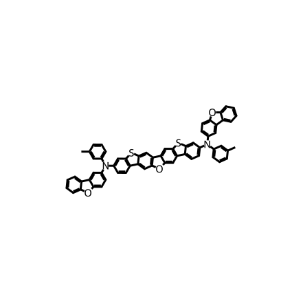 Cc1cccc(N(c2ccc3c(c2)sc2cc4c(cc23)oc2cc3c(cc24)sc2cc(N(c4cccc(C)c4)c4ccc5oc6ccccc6c5c4)ccc23)c2ccc3oc4ccccc4c3c2)c1